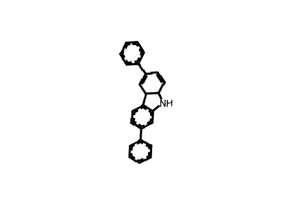 C1=CC2Nc3cc(-c4ccccc4)ccc3C2C=C1c1ccccc1